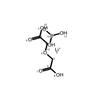 O=C(O)COCC(=O)O.[Li+].[O-]B(O)O